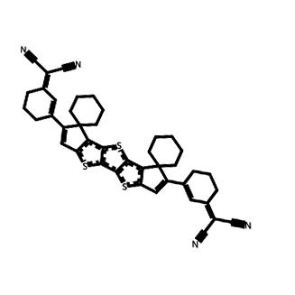 N#CC(C#N)=C1C=C(C2=Cc3sc4c(sc5c6c(sc54)C=C(C4=CC(=C(C#N)C#N)CCC4)C64CCCCC4)c3C23CCCCC3)CCC1